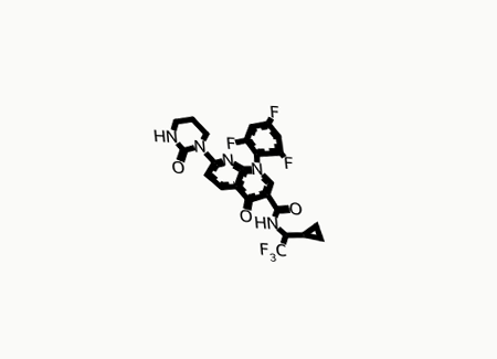 O=C(NC(C1CC1)C(F)(F)F)c1cn(-c2c(F)cc(F)cc2F)c2nc(N3CCCNC3=O)ccc2c1=O